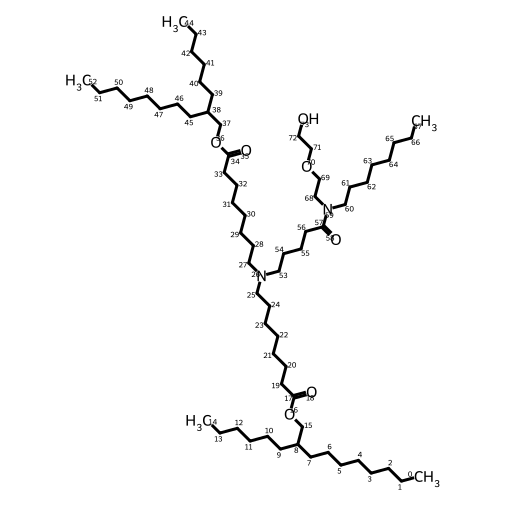 CCCCCCCCC(CCCCCC)COC(=O)CCCCCCCN(CCCCCCCC(=O)OCC(CCCCCC)CCCCCCCC)CCCCC(=O)N(CCCCCCCC)CCOCCO